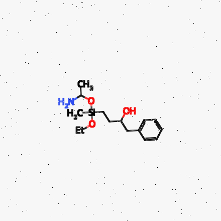 CCO[Si](C)(CCC(O)Cc1ccccc1)OC(C)N